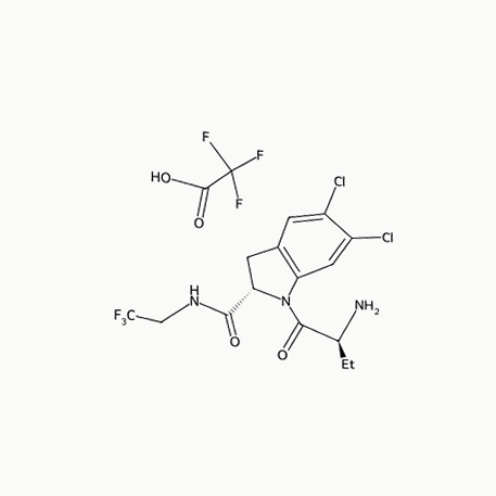 CC[C@H](N)C(=O)N1c2cc(Cl)c(Cl)cc2C[C@H]1C(=O)NCC(F)(F)F.O=C(O)C(F)(F)F